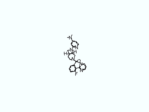 CN(C)c1ccnc(N2C[C@@H]3CCN(C(=O)c4cccc(F)c4-c4ncccn4)C[C@@H]32)c1